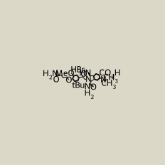 Br.COc1cc(C(=O)CN2C(=N)c3cc(C(=O)O)c(N(C)C)cc3C2C(N)=O)cc(C(C)(C)C)c1OCCCC(N)=O